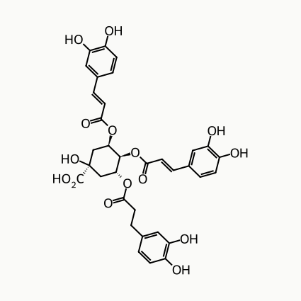 O=C(/C=C/c1ccc(O)c(O)c1)O[C@@H]1[C@H](OC(=O)/C=C/c2ccc(O)c(O)c2)C[C@@](O)(C(=O)O)C[C@H]1OC(=O)CCc1ccc(O)c(O)c1